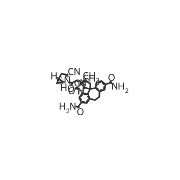 C[C@@H](CC1(c2nc(=O)on2C)c2ccc(C(N)=O)cc2CCc2cc(C(N)=O)ccc21)NCC(=O)N1[C@H](C#N)C[C@@H]2C[C@@H]21